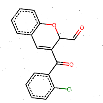 O=CC1Oc2ccccc2C=C1C(=O)c1ccccc1Cl